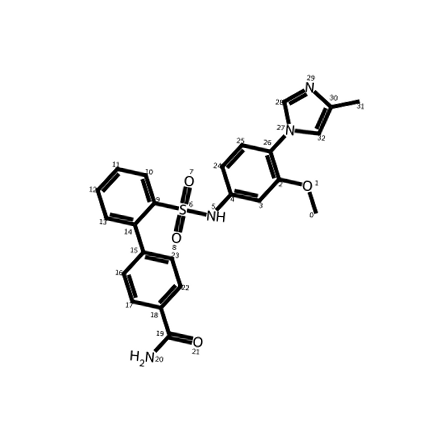 COc1cc(NS(=O)(=O)c2ccccc2-c2ccc(C(N)=O)cc2)ccc1-n1cnc(C)c1